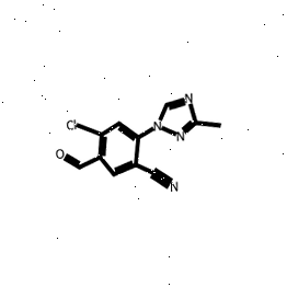 Cc1ncn(-c2cc(Cl)c(C=O)cc2C#N)n1